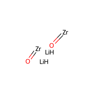 [LiH].[LiH].[O]=[Zr].[O]=[Zr]